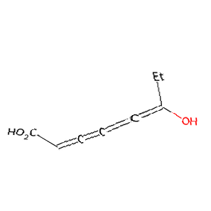 CCC(O)=C=C=C=CC(=O)O